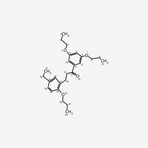 CCCOc1cc(OCCC)cc(C(=O)CCc2cc(CC)ccc2OCCC)c1